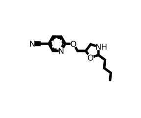 CCCCC1NCC(COc2ccc(C#N)cn2)O1